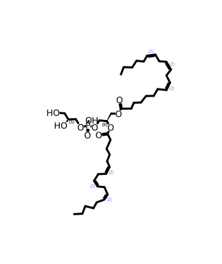 CCCCC/C=C\C/C=C\C/C=C\CCCCCCC(=O)OC[C@H](COP(=O)(O)OC[C@@H](O)CO)OC(=O)CCCC/C=C\C/C=C\C/C=C\CCCCC